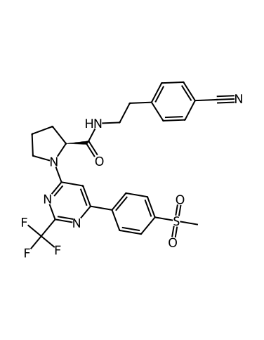 CS(=O)(=O)c1ccc(-c2cc(N3CCC[C@H]3C(=O)NCCc3ccc(C#N)cc3)nc(C(F)(F)F)n2)cc1